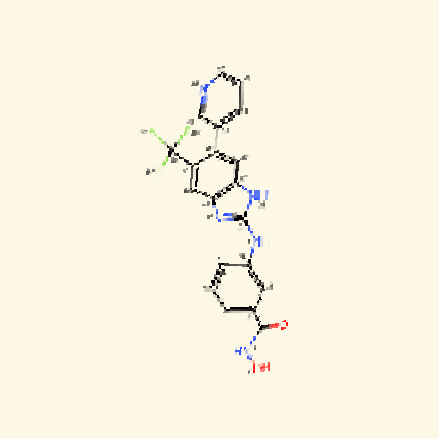 O=C(NO)c1cccc(Nc2nc3cc(C(F)(F)F)c(-c4cccnc4)cc3[nH]2)c1